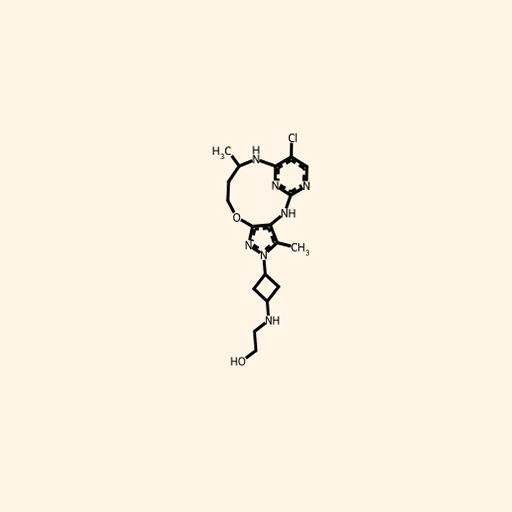 Cc1c2c(nn1C1CC(NCCO)C1)OCCC(C)Nc1nc(ncc1Cl)N2